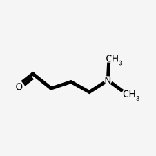 CN(C)CCCC=O